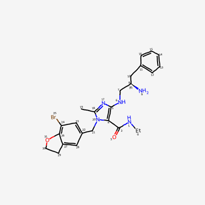 CCNC(=O)c1c(NC[C@H](N)Cc2ccccc2)nc(C)n1Cc1cc(Br)c2c(c1)CCO2